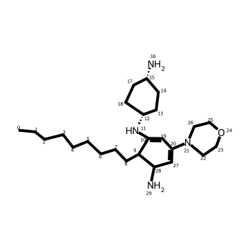 CCCCCCCCCC1C(N[C@H]2CC[C@@H](N)CC2)=CC(N2CCOCC2)=CC1N